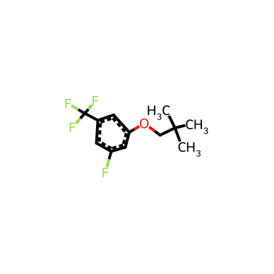 CC(C)(C)COc1cc(F)cc(C(F)(F)F)c1